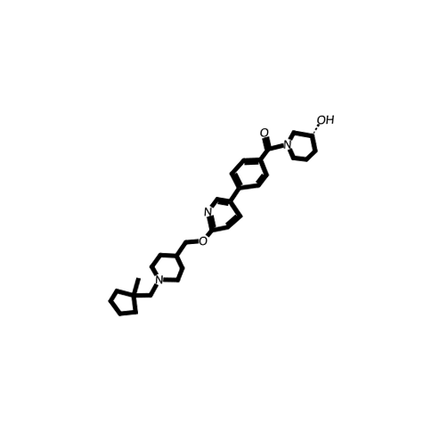 CC1(CN2CCC(COc3ccc(-c4ccc(C(=O)N5CCC[C@@H](O)C5)cc4)cn3)CC2)CCCC1